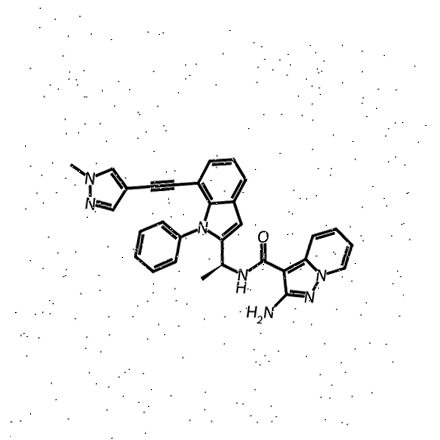 C[C@H](NC(=O)c1c(N)nn2ccccc12)c1cc2cccc(C#Cc3cnn(C)c3)c2n1-c1ccccc1